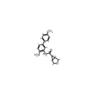 Cc1ccc(-c2ccc(N)c(NC(=O)C3C4COCC43)c2)cc1